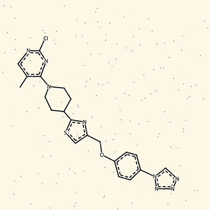 Cc1cnc(Cl)nc1N1CCC(c2nc(COc3ccc(-n4cnnn4)cc3)cs2)CC1